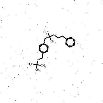 CC(C)(C)SCc1ccc(CC(C)(C)SCCc2ccccc2)cc1